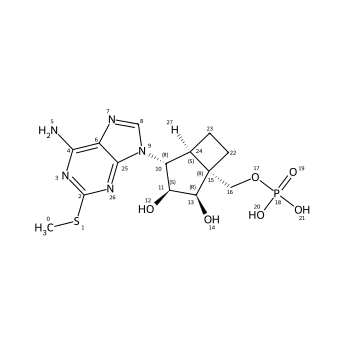 CSc1nc(N)c2ncn([C@H]3[C@H](O)[C@H](O)[C@]4(COP(=O)(O)O)CC[C@H]34)c2n1